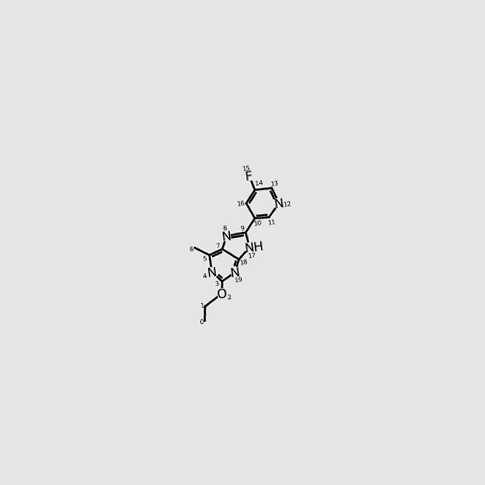 CCOc1nc(C)c2nc(-c3cncc(F)c3)[nH]c2n1